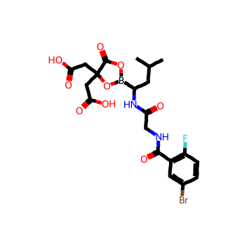 CC(C)CC(NC(=O)CNC(=O)c1cc(Br)ccc1F)B1OC(=O)C(CC(=O)O)(CC(=O)O)O1